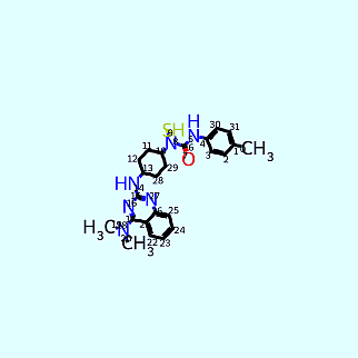 Cc1ccc(NC(=O)N(S)C2CCC(Nc3nc(N(C)C)c4ccccc4n3)CC2)cc1